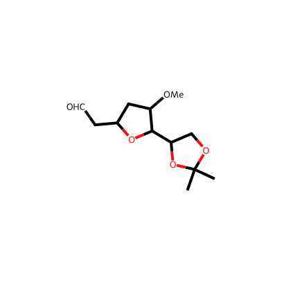 COC1CC(CC=O)OC1C1COC(C)(C)O1